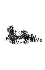 CN[C@@H](C)C(=O)N[C@H](C(=O)N1C[C@@H](NC(=O)c2ccc(CN(C(=O)[C@@H]3Cc4ccccc4CN3C(=O)[C@@H](NC(=O)[C@H](C)NC)C(C)(C)C)C(C)c3ccccc3Cl)cc2)C[C@H]1C(=O)N[C@@H]1CCCc2ccccc21)C(C)(C)C